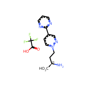 N[C@H](CC[n+]1ccc(-c2ncccn2)cn1)C(=O)O.O=C(O)C(F)(F)F